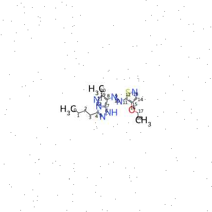 CCCCc1n[nH]c2c(N=Nc3sncc3OCC)c(C)nn12